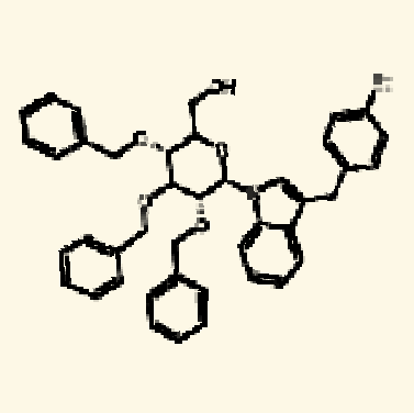 CCc1ccc(Cc2cn([C@@H]3O[C@H](CO)[C@@H](OCc4ccccc4)[C@H](OCc4ccccc4)[C@H]3OCc3ccccc3)c3ccccc23)cc1